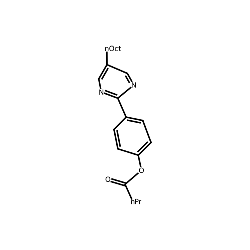 CCCCCCCCc1cnc(-c2ccc(OC(=O)CCC)cc2)nc1